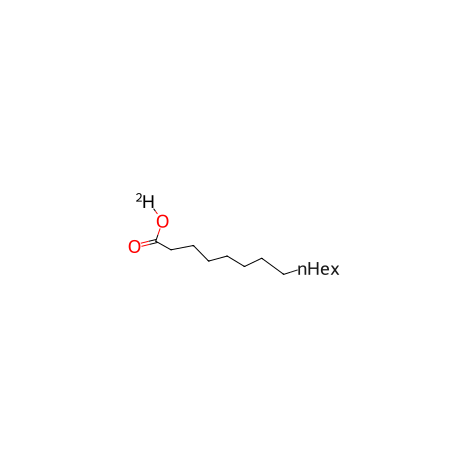 [2H]OC(=O)CCCCCCCCCCCCC